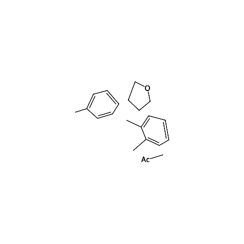 C1CCOC1.CC(C)=O.Cc1ccccc1.Cc1ccccc1C